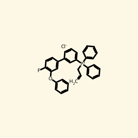 C=CC[P+](c1ccccc1)(c1ccccc1)c1cccc(-c2ccc(F)c(Oc3ccccc3)c2)c1.[Cl-]